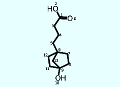 O=C(O)CCCC12CCC(O)(CC1)C2